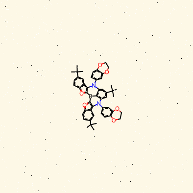 CC(C)(C)c1cc2c3c(c1)N(c1ccc4c(c1)OCCO4)c1c(oc4ccc(C(C)(C)C)cc14)B3c1oc3ccc(C(C)(C)C)cc3c1N2c1ccc2c(c1)OCCO2